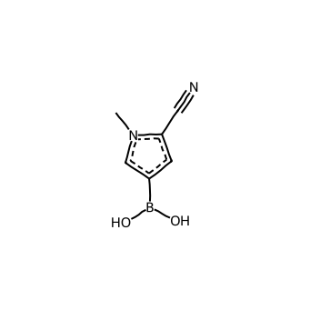 Cn1cc(B(O)O)cc1C#N